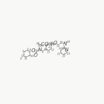 Cc1ccc(OC(=O)N(Cc2ccc(OCCN(C)c3ccccn3)cc2)[C@@H](C)C(=O)O)cc1